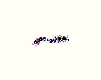 CC1(C)[C@H](NC(=O)c2ccn(C3CCN(CCN4CCN(c5ccc6c(c5)C(=O)N(C5CCC(=O)NC5=O)C6=O)CC4)CC3)n2)C(C)(C)[C@H]1Oc1ccc(C#N)c(Cl)c1